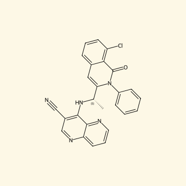 C[C@H](Nc1c(C#N)cnc2cccnc12)c1cc2cccc(Cl)c2c(=O)n1-c1ccccc1